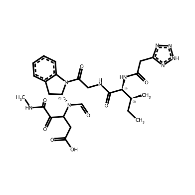 CC[C@H](C)[C@H](NC(=O)Cc1nn[nH]n1)C(=O)NCC(=O)N1c2ccccc2C[C@H]1N(C=O)C(CC(=O)O)C(=O)C(=O)NC